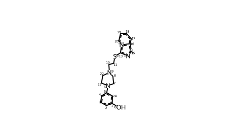 Oc1cccc(N2CCN(CCSc3nnc4ccccn34)CC2)c1